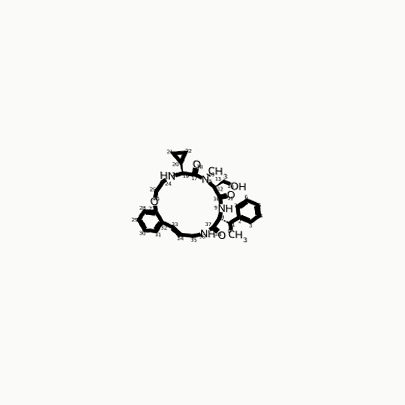 CC(c1ccccc1)[C@H]1NC(=O)[C@H](CO)N(C)C(=O)[C@H](C2CC2)NCCOc2ccccc2/C=C/CNC1=O